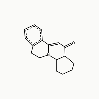 O=C1C=C2c3ccccc3CCN2C2CCCCC12